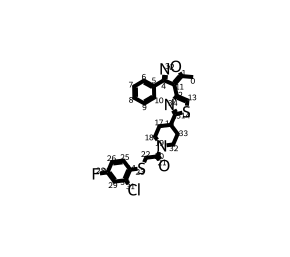 Cc1onc(-c2ccccc2)c1-c1csc(C2CCN(C(=O)CSc3ccc(F)cc3Cl)CC2)n1